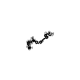 O=C1CCC(c2coc3ccc4c(C#CCOC5CCN(CC6CCC(n7cc(NC(=O)c8cnn9ccc(N%10C[C@H]%11C[C@@H]%10CO%11)nc89)c(C(F)F)n7)CC6)CC5)cccc4c23)C(=O)N1